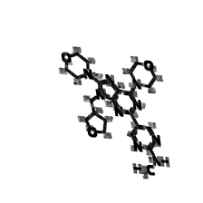 CNc1ncc(-c2nc(N3CCOCC3)c3nc(N4CCOCC4)n(CC4CCOC4)c3n2)cn1